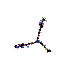 C[C@@H](C(=O)O)N(C)C(=O)CCSSCCC(=O)NCCCCCCNc1nc(NCCOCCOCCC(=O)NCCCOc2cccc3c(C(=O)NCC(=O)N4CC(F)(F)C[C@H]4C#N)ccnc23)nc(NCCOCCOCCC(=O)NCCCOc2cccc3c(C(=O)NCC(=O)N4CC(F)(F)C[C@H]4C#N)ccnc23)n1